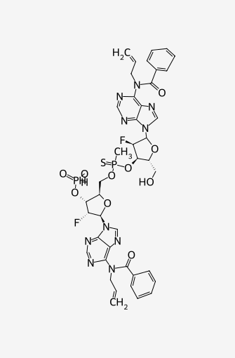 C=CCN(C(=O)c1ccccc1)c1ncnc2c1ncn2C1O[C@H](CO)[C@@H](OP(C)(=S)OC[C@H]2O[C@@H](n3cnc4c(N(CC=C)C(=O)c5ccccc5)ncnc43)[C@H](F)[C@@H]2O[PH](=O)O)[C@H]1F